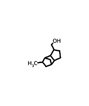 CC1CC2CC1C1C(CO)CCC21